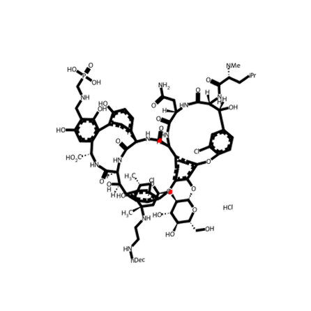 CCCCCCCCCCNCCN[C@@]1(C)C[C@H](O[C@H]2[C@H](Oc3c4cc5cc3Oc3ccc(cc3Cl)[C@@H](O)[C@@H](NC(=O)[C@@H](CC(C)C)NC)C(=O)N[C@@H](CC(N)=O)C(=O)N[C@H]5C(=O)N[C@@H]3C(=O)N[C@H](C(=O)N[C@H](C(=O)O)c5cc(O)c(CNCP(=O)(O)O)c(O)c5-c5cc3ccc5O)[C@H](O)c3ccc(c(Cl)c3)O4)O[C@H](CO)[C@@H](O)[C@@H]2O)O[C@@H](C)[C@H]1O.Cl